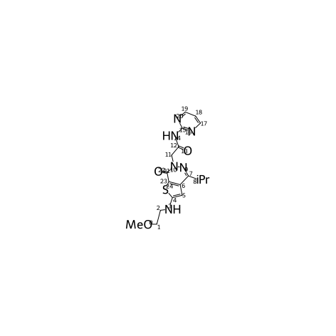 COCCNc1cc2c(C(C)C)nn(CC(=O)Nc3ncccn3)c(=O)c2s1